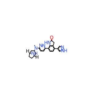 CN(c1ccc(-c2ccc(-c3cn[nH]c3)c3c2NC(=O)C3)nn1)C1C[C@H]2CC[C@@H](C1)N2